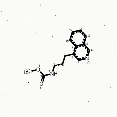 CC(C)(C)OC(=O)NCCCc1cncc2ccccc12